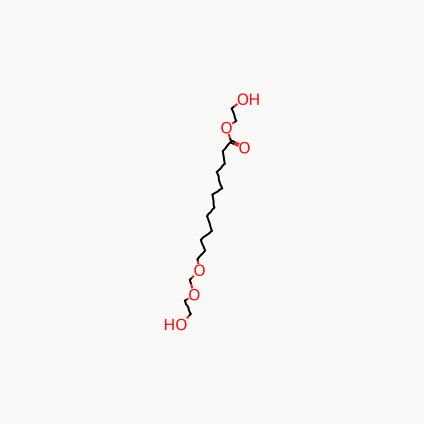 O=C(CCCCCCCCCCCOCOCCO)OCCO